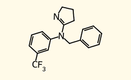 FC(F)(F)c1cccc(N(Cc2ccccc2)C2=NCCC2)c1